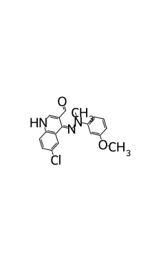 COc1cccc(N(C)/N=c2\c(C=O)c[nH]c3ccc(Cl)cc23)c1